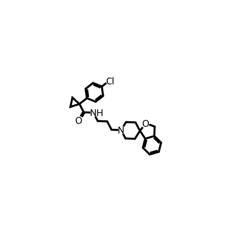 O=C(NCCCN1CCC2(CC1)OCc1ccccc12)C1(c2ccc(Cl)cc2)CC1